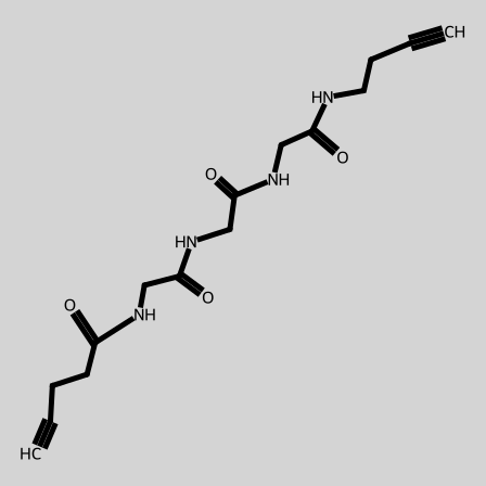 C#CCCNC(=O)CNC(=O)CNC(=O)CNC(=O)CCC#C